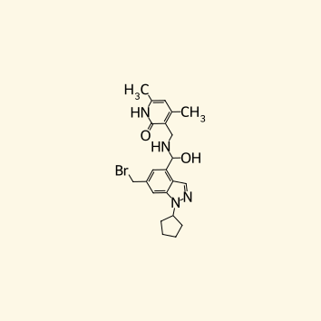 Cc1cc(C)c(CNC(O)c2cc(CBr)cc3c2cnn3C2CCCC2)c(=O)[nH]1